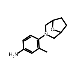 Cc1cc(N)ccc1N1CC2CCC(C1)O2